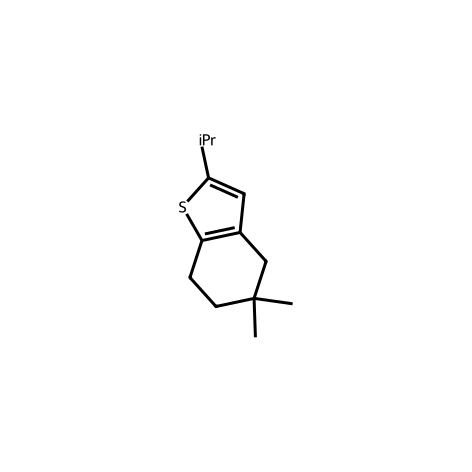 CC(C)c1cc2c(s1)CCC(C)(C)C2